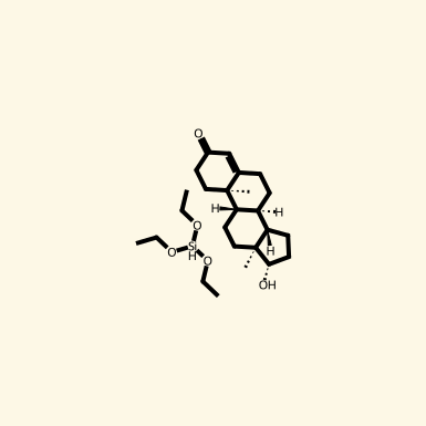 CCO[SiH](OCC)OCC.C[C@]12CC[C@H]3[C@@H](CCC4=CC(=O)CC[C@@]43C)[C@@H]1CC[C@@H]2O